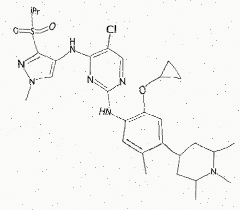 Cc1cc(Nc2ncc(Cl)c(Nc3cn(C)nc3S(=O)(=O)C(C)C)n2)c(OC2CC2)cc1C1CC(C)N(C)C(C)C1